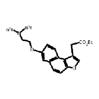 CCCN(CCC)CCOc1ccc2c(ccc3occ(CC(=O)OCC)c32)c1